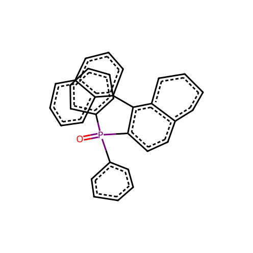 O=P(c1ccccc1)(c1ccccc1)c1ccc2ccccc2c1-c1cccc2ccccc12